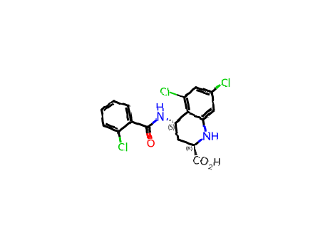 O=C(N[C@H]1C[C@H](C(=O)O)Nc2cc(Cl)cc(Cl)c21)c1ccccc1Cl